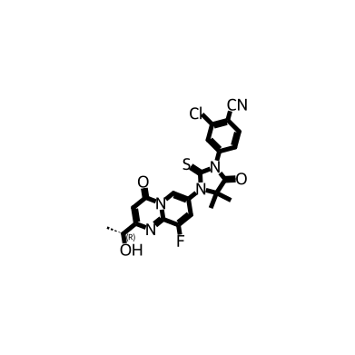 C[C@@H](O)c1cc(=O)n2cc(N3C(=S)N(c4ccc(C#N)c(Cl)c4)C(=O)C3(C)C)cc(F)c2n1